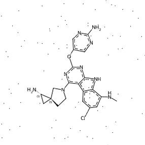 CNc1cc(Cl)cc2c1[nH]c1nc(Oc3cnc(N)nc3)nc(N3CC[C@]4(C[C@@H]4N)C3)c12